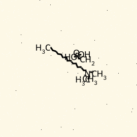 C=CP(=O)(O)O.CCCCCCCCCCCCCCCC[N+](CC)(CC)CC